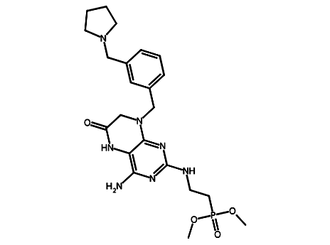 COP(=O)(CCNc1nc(N)c2c(n1)N(Cc1cccc(CN3CCCC3)c1)CC(=O)N2)OC